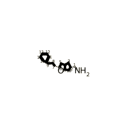 NC[C@H]1CC2C[C@@H](CCCc3ccccc3)OC2C1